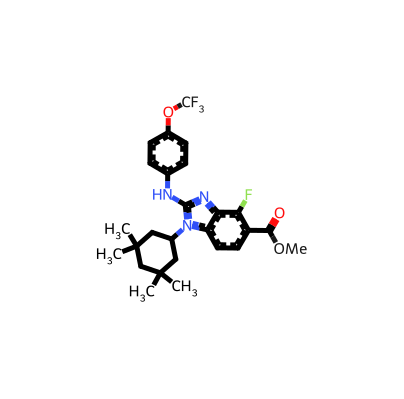 COC(=O)c1ccc2c(nc(Nc3ccc(OC(F)(F)F)cc3)n2C2CC(C)(C)CC(C)(C)C2)c1F